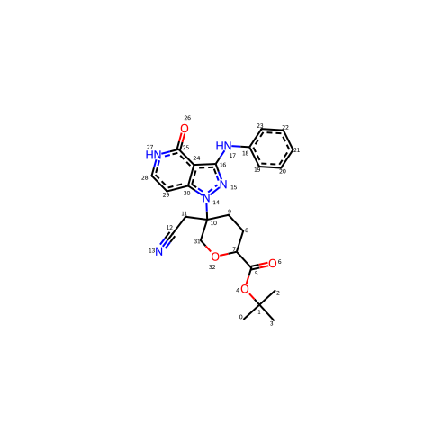 CC(C)(C)OC(=O)C1CCC(CC#N)(n2nc(Nc3ccccc3)c3c(=O)[nH]ccc32)CO1